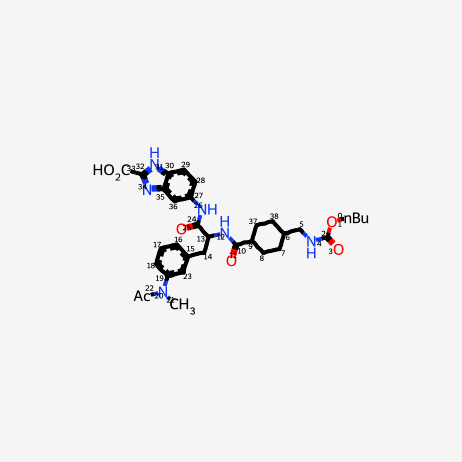 CCCCOC(=O)NCC1CCC(C(=O)NC(Cc2cccc(N(C)C(C)=O)c2)C(=O)Nc2ccc3[nH]c(C(=O)O)nc3c2)CC1